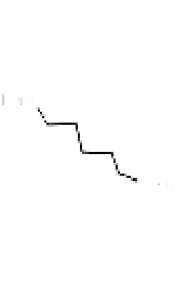 [CH2]CCCCCCCC[CH]CCCCC